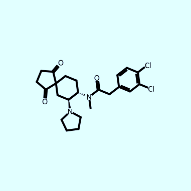 CN(C(=O)Cc1ccc(Cl)c(Cl)c1)[C@H]1CCC2(C[C@@H]1N1CCCC1)C(=O)CCC2=O